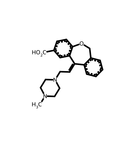 CN1CCN(CC=C2c3ccccc3COc3ccc(C(=O)O)cc32)CC1